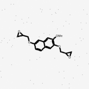 COc1cc2cc(OCC3CO3)ccc2cc1OCC1CO1